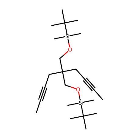 CC#CCC(CC#CC)(CO[Si](C)(C)C(C)(C)C)CO[Si](C)(C)C(C)(C)C